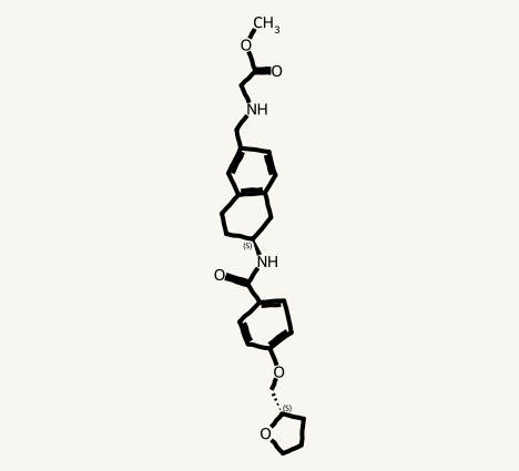 COC(=O)CNCc1ccc2c(c1)CC[C@H](NC(=O)c1ccc(OC[C@@H]3CCCO3)cc1)C2